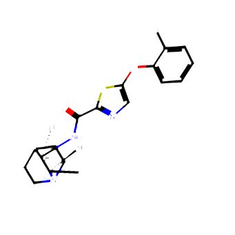 Cc1ccccc1Oc1cnc(C(=O)N[C@@H]2C3CCN(CC3)[C@H]2C)s1